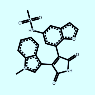 Cn1cc(C2=C(c3cc(NS(C)(=O)=O)cc4ccoc34)C(=O)NC2=O)c2ccccc21